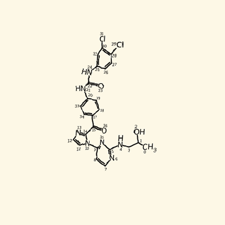 CC(O)CNc1nccc(-n2ccnc2C(=O)c2ccc(NC(=O)Nc3ccc(Cl)c(Cl)c3)cc2)n1